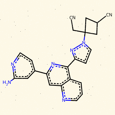 N#CCC1(n2ccc(-c3nc(-c4ccnc(N)c4)cc4ncccc34)n2)CC(C#N)C1